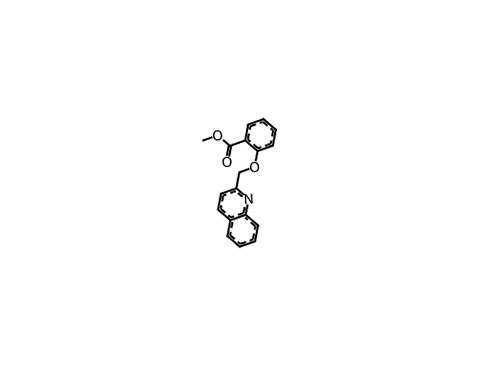 COC(=O)c1ccccc1OCc1ccc2ccccc2n1